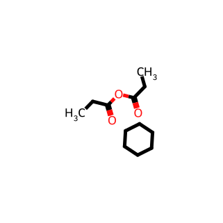 C1CCCCC1.CCC(=O)OC(=O)CC